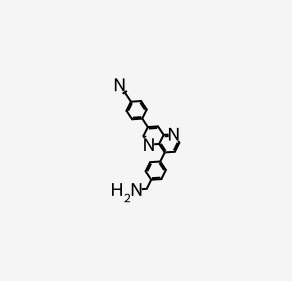 N#Cc1ccc(-c2cnc3c(-c4ccc(CN)cc4)ccnc3c2)cc1